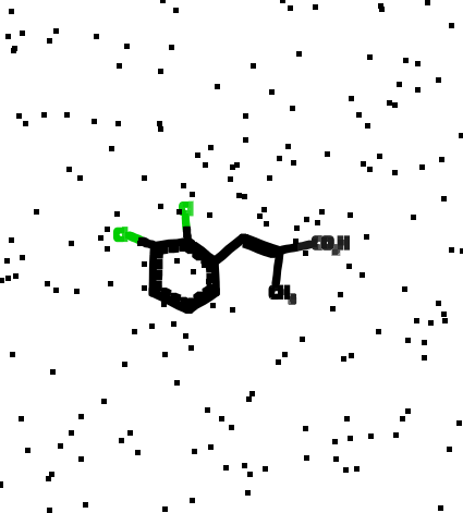 CC(=Cc1cccc(Cl)c1Cl)C(=O)O